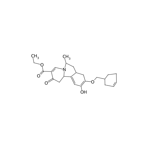 CCOC(=O)C1=CN2C(C)CC3CC(OCC4CC=CCC4)=C(O)C=C3C2CC1=O